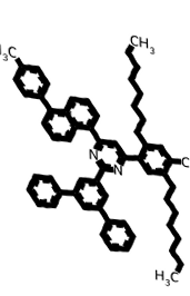 CCCCCCCCc1cc(-c2cc(-c3cccc4c(-c5ccc(C)cc5)cccc34)nc(-c3cc(-c4ccccc4)cc(-c4ccccc4)c3)n2)c(CCCCCCCC)cc1C